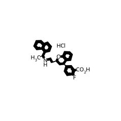 C[C@@H](NCC[C@@H]1C[C@H](c2ccc(F)c(C(=O)O)c2)c2ccccc2O1)c1cccc2ccccc12.Cl